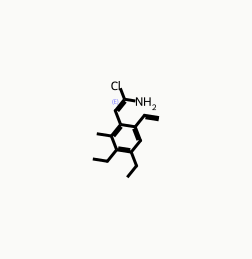 C=Cc1cc(CC)c(CC)c(C)c1/C=C(\N)Cl